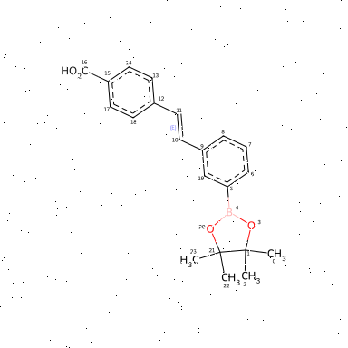 CC1(C)OB(c2cccc(/C=C/c3ccc(C(=O)O)cc3)c2)OC1(C)C